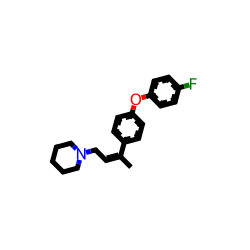 CC(=CCN1CCCCC1)c1ccc(Oc2ccc(F)cc2)cc1